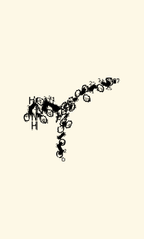 COCCOCCOC(=O)OCOP(=O)(OCOC(=O)OCCOCCOC)OC1[C@]2(C)[C@@](C)(O)[C@H](n3ccc(=O)[nH]c3=O)O[C@]12CF